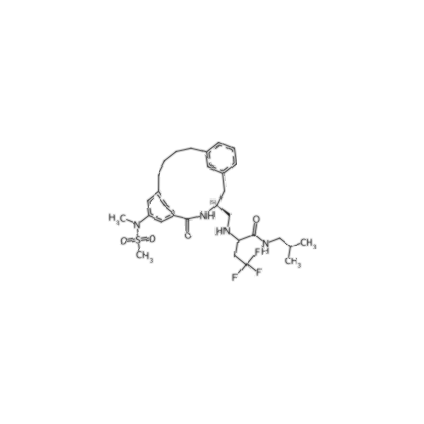 CC(C)CNC(=O)C(CC(F)(F)F)NC[C@@H]1Cc2cccc(c2)CCCCc2cc(cc(N(C)S(C)(=O)=O)c2)C(=O)N1